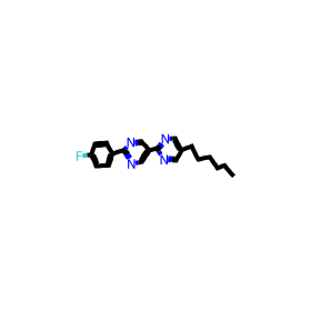 CCCCCCc1cnc(-c2cnc(-c3ccc(F)cc3)nc2)nc1